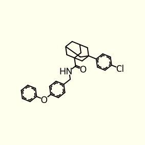 O=C(NCc1ccc(Oc2ccccc2)cc1)C12CC3CC(C1)CC(c1ccc(Cl)cc1)(C3)C2